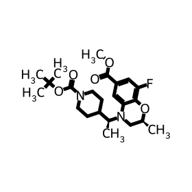 COC(=O)c1cc(F)c2c(c1)N([C@@H](C)C1CCN(C(=O)OC(C)(C)C)CC1)C[C@H](C)O2